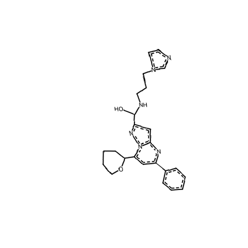 OC(NCCCn1ccnc1)c1cc2nc(-c3ccccc3)cc(C3CCCCO3)n2n1